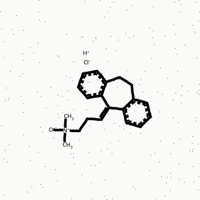 C[N+](C)([O-])CCC=C1c2ccccc2CCc2ccccc21.[Cl-].[H+]